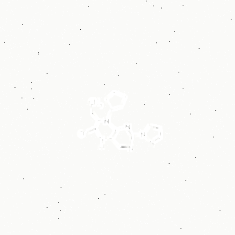 CC[C@@H]1C(=O)Nc2cnc(-n3cccn3)nc2N1C1CCCC1